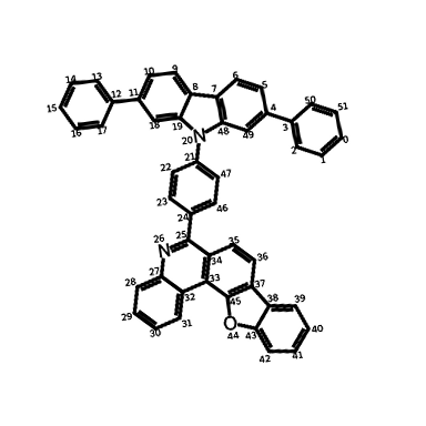 c1ccc(-c2ccc3c4ccc(-c5ccccc5)cc4n(-c4ccc(-c5nc6ccccc6c6c5ccc5c7ccccc7oc56)cc4)c3c2)cc1